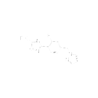 Fc1cc(Cn2cccn2)ccc1-c1noc(C(F)(F)F)n1